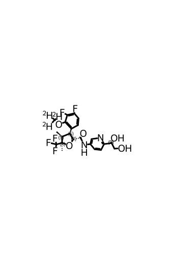 [2H]C([2H])([2H])Oc1c([C@H]2[C@H](C(=O)Nc3ccc([C@@H](O)CO)nc3)O[C@@](C)(C(F)(F)F)[C@H]2C)ccc(F)c1F